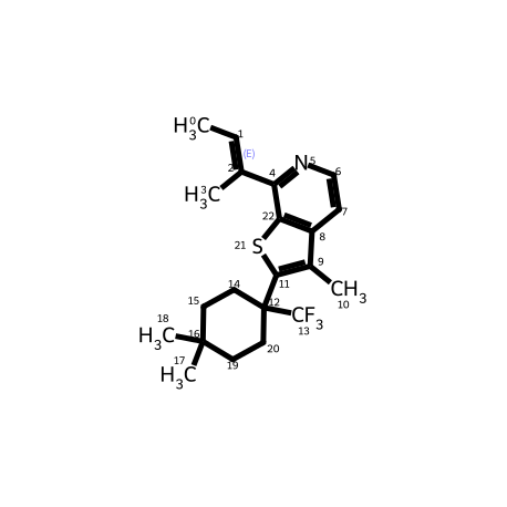 C/C=C(\C)c1nccc2c(C)c(C3(C(F)(F)F)CCC(C)(C)CC3)sc12